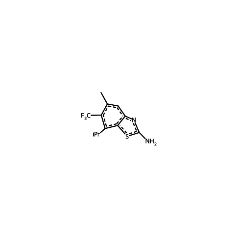 Cc1cc2nc(N)sc2c(C(C)C)c1C(F)(F)F